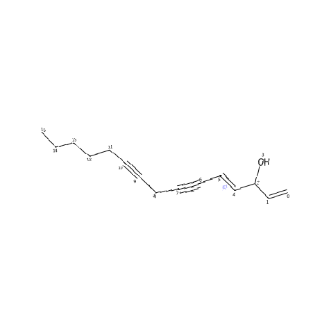 C=CC(O)/C=C/C#CCC#CCCCCC